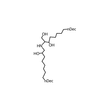 CCCCCCCCCCCCCCCCC(O)CNC(CO)C(O)CCCCCCCCCCCCCCC